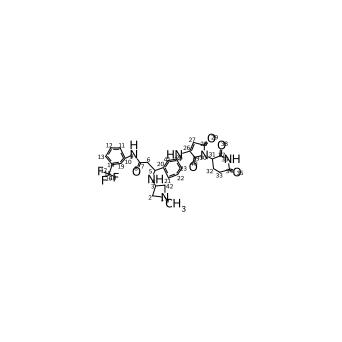 CN1CC(NC(CC(=O)Nc2cccc(C(F)(F)F)c2)c2cccc(NC3=CC(=O)N(C4CCC(=O)NC4=O)C3=O)c2)C1